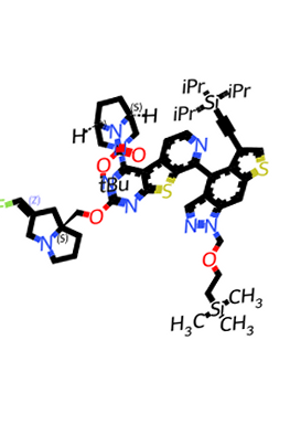 CC(C)[Si](C#Cc1csc2cc3c(cnn3COCC[Si](C)(C)C)c(-c3nccc4c3sc3nc(OC[C@@]56CCCN5C/C(=C\F)C6)nc(N5C[C@H]6CC[C@@H](C5)N6C(=O)OC(C)(C)C)c34)c12)(C(C)C)C(C)C